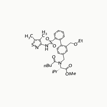 CCCCC(=O)N(Cc1ccc(-c2ccccc2S(=O)(=O)Nc2nsc(C)c2C)c(COCC)c1)[C@H](C(=O)OC)C(C)C